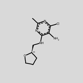 Cc1nc(Cl)c(N)c(NC[C@H]2CCCO2)n1